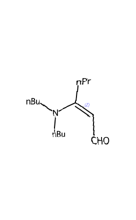 CCCCN(CCCC)/C(=C\C=O)CCC